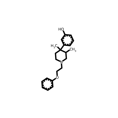 CC1CN(CCOc2ccccc2)CCC1(C)c1cccc(O)c1